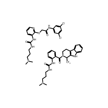 CN(C)CCCNC(=O)Nc1ccccc1C(=O)N1CCc2c([nH]c3ccccc23)C1C(F)(F)F.CN(C)CCCNC(=O)Nc1cccnc1SCC(=O)Nc1cc(Cl)cc(Cl)c1